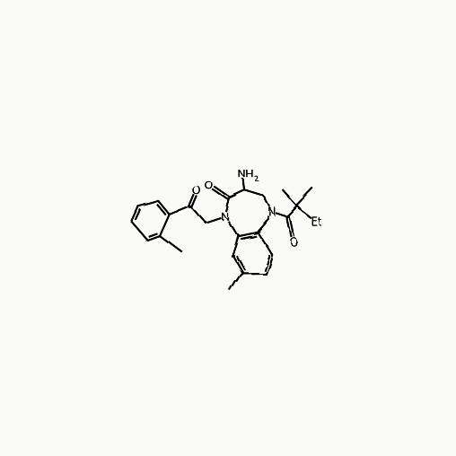 CCC(C)(C)C(=O)N1CC(N)C(=O)N(CC(=O)c2ccccc2C)c2cc(C)ccc21